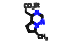 CCOC(=O)Cc1ncnn2c(C)ccc12